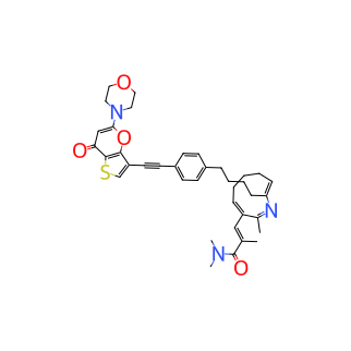 C/C1=N/C(CCCCc2ccc(C#Cc3csc4c(=O)cc(N5CCOCC5)oc34)cc2)=C/CCC/C=C1/C=C(\C)C(=O)N(C)C